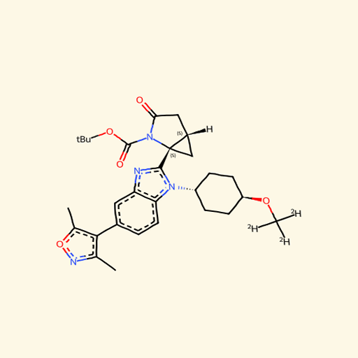 [2H]C([2H])([2H])O[C@H]1CC[C@H](n2c([C@]34C[C@H]3CC(=O)N4C(=O)OC(C)(C)C)nc3cc(-c4c(C)noc4C)ccc32)CC1